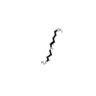 CCCC/C=C/[P]CCCCC